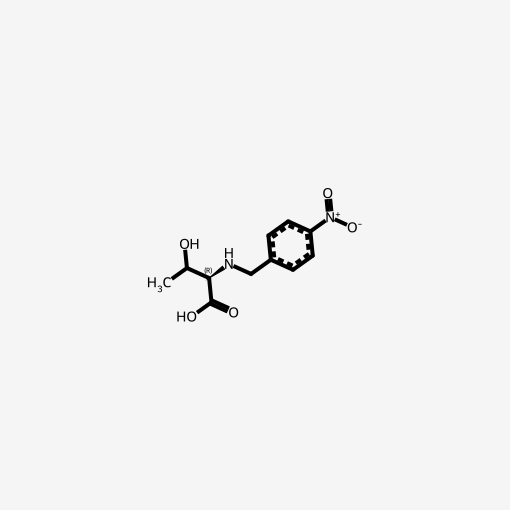 CC(O)[C@@H](NCc1ccc([N+](=O)[O-])cc1)C(=O)O